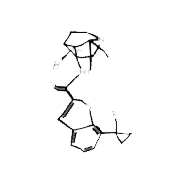 CC1(C)[C@H](NC(=O)c2cc3cccc(C4(F)CC4)c3s2)C2CCN1CC2